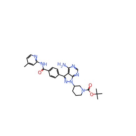 Cc1ccnc(NC(=O)c2ccc(-c3nn(C4CCCN(C(=O)OC(C)(C)C)C4)c4ncnc(N)c34)cc2)c1